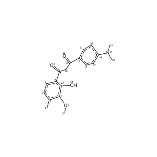 COc1c(C)ccc(C(=O)CC(=O)c2ccc(N(C)C)cc2)c1O